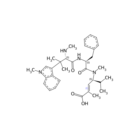 CN[C@H](C(=O)N[C@@H](Cc1ccccc1)C(=O)N(C)[C@H](/C=C(\C)C(=O)O)C(C)C)C(C)(C)c1cn(C)c2ccccc12